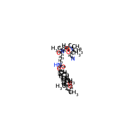 CC(C)N(C(C)C)P(OCCC#N)O[C@@H]1C[C@@H](C)N(C(=O)CCCCCNC(=O)O[C@H]2CC[C@@]3(C)C(=CC[C@H]4[C@@H]5C[C@@H]6O[C@]7(CC[C@@H](C)CO7)[C@@H](C)[C@@H]6[C@@]5(C)CC[C@@H]43)C2)C1